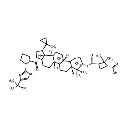 CC(C)(C)c1c[nH]c([C@@H]2CCCN2C(=O)[C@]23CC[C@@H](C4(C)CC4)[C@@H]2[C@H]2CC[C@@H]4[C@@]5(C)CC[C@H](OC(=O)[C@H]6C[C@@H](C(=O)O)C6(C)C)C(C)(C)[C@@H]5CC[C@@]4(C)[C@]2(C)CC3)n1